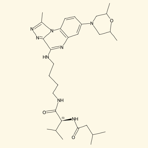 Cc1nnc2c(NCCCCNC(=O)[C@@H](NC(=O)CC(C)C)C(C)C)nc3cc(N4CC(C)OC(C)C4)ccc3n12